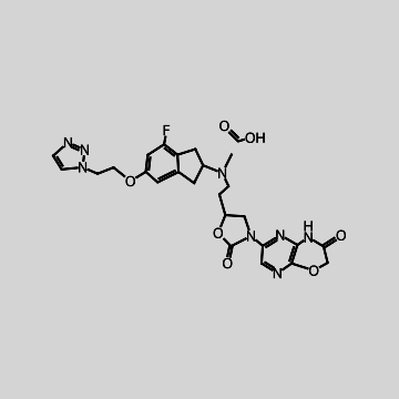 CN(CCC1CN(c2cnc3c(n2)NC(=O)CO3)C(=O)O1)C1Cc2cc(OCCn3ccnn3)cc(F)c2C1.O=CO